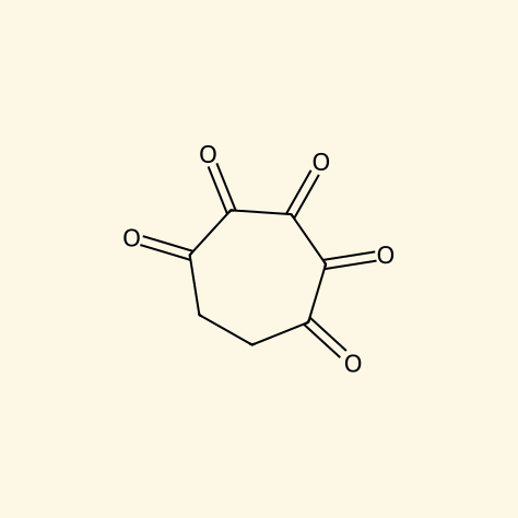 O=C1CCC(=O)C(=O)C(=O)C1=O